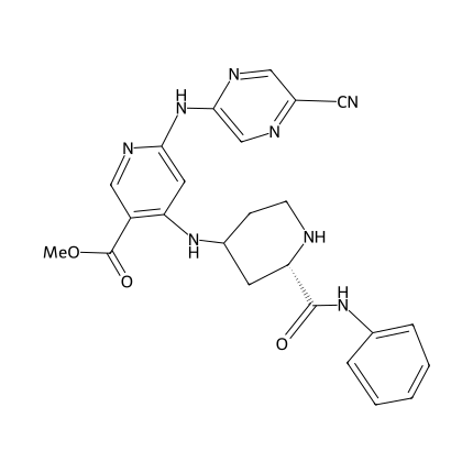 COC(=O)c1cnc(Nc2cnc(C#N)cn2)cc1NC1CCN[C@H](C(=O)Nc2ccccc2)C1